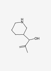 C=C(C)C(O)C1CCCNC1